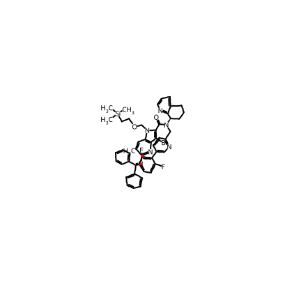 Cc1cc2c(nc1N=C(c1ccccc1)c1ccccc1)c(Br)c(C(=O)N(Cc1ccc(-c3c(F)cccc3F)cn1)[C@@H]1CCCc3cccnc31)n2COCC[Si](C)(C)C